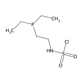 CCP(CC)CCNS(=O)(=O)Cl